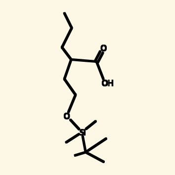 CCCC(CCO[Si](C)(C)C(C)(C)C)C(=O)O